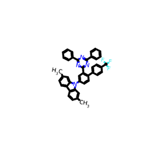 Cc1ccc2c3ccc(C)cc3n(-c3ccc(-c4ccc(C(F)(F)F)cc4)c(-c4nc(-c5ccccc5)nc(-c5ccccc5)n4)c3)c2c1